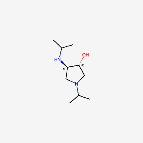 CC(C)N[C@@H]1CN(C(C)C)C[C@H]1O